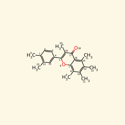 Cc1ccc(-c2oc3c(C)c(C)c(C)c(C)c3c(=O)c2C)cc1C